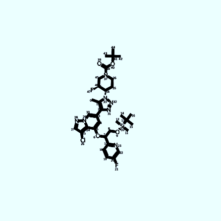 Cc1c(-c2cc(OC(CO[Si](C)(C)C(C)(C)C)c3ccc(F)cn3)c3c(Cl)cnn3c2)nnn1[C@H]1CCN(C(=O)OC(C)(C)C)C[C@@H]1F